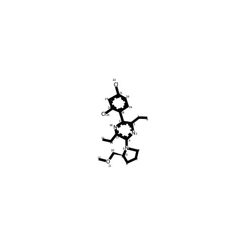 CCc1nc(N2CCC[C@H]2COC)c(CC)nc1-c1ccc(Cl)cc1Cl